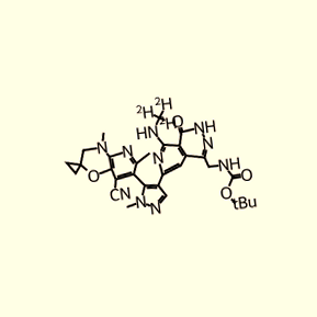 [2H]C([2H])([2H])Nc1nc(-c2cnn(C)c2-c2c(C)nc3c(c2C#N)OC2(CC2)CN3C)cc2c(CNC(=O)OC(C)(C)C)n[nH]c(=O)c12